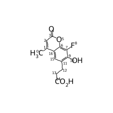 Cc1cc(=O)oc2c(F)c(O)c(CCC(=O)O)cc12